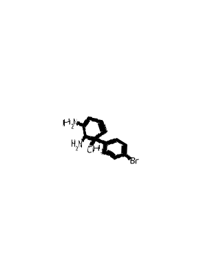 CC1(c2ccc(Br)cc2)C=CC=C(N)C1N